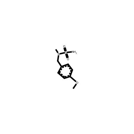 COc1ccc(CN(C)S(N)(=O)=O)cc1